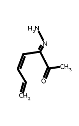 C=C/C=C\C(=N/N)C(C)=O